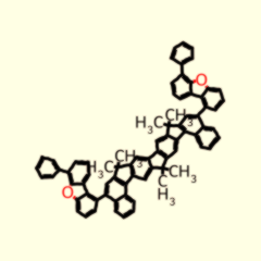 CC1(C)c2cc3c(cc2-c2cc4c(cc21)-c1c(cc(-c2cccc5oc6c(-c7ccccc7)cccc6c25)c2ccccc12)C4(C)C)C(C)(C)c1cc(-c2cccc4oc5c(-c6ccccc6)cccc5c24)c2ccccc2c1-3